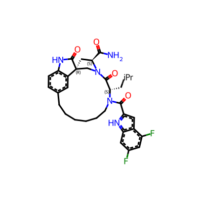 CC(C)C[C@H]1C(=O)N2C[C@]3(C[C@H]2C(N)=O)C(=O)Nc2ccc(cc23)CCCCCCN1C(=O)c1cc2c(F)cc(F)cc2[nH]1